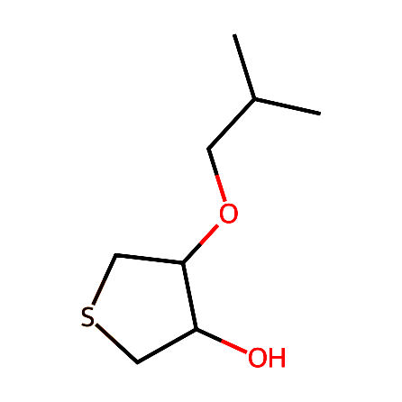 CC(C)COC1CSCC1O